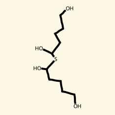 OCCCCC(O)SC(O)CCCCO